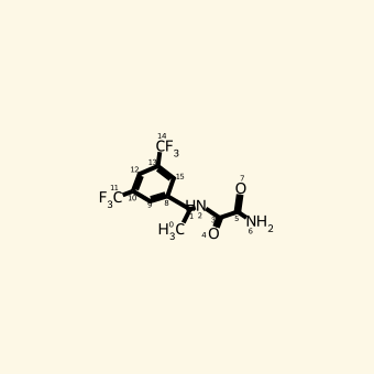 CC(NC(=O)C(N)=O)c1cc(C(F)(F)F)cc(C(F)(F)F)c1